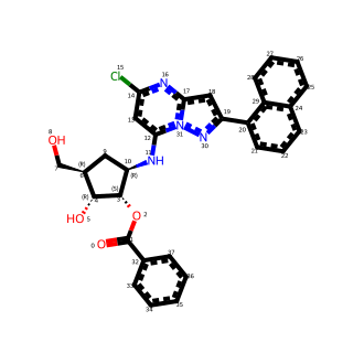 O=C(O[C@@H]1[C@H](O)[C@@H](CO)C[C@H]1Nc1cc(Cl)nc2cc(-c3cccc4ccccc34)nn12)c1ccccc1